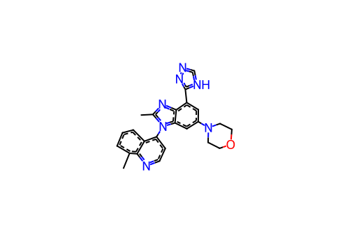 Cc1cccc2c(-n3c(C)nc4c(-c5nnc[nH]5)cc(N5CCOCC5)cc43)ccnc12